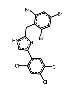 Clc1cc(Cl)c(-c2c[nH]c(Cc3c(Br)cc(Br)cc3Br)n2)cc1Cl